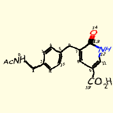 CC(=O)NCc1ccc(Cc2cc(C(=O)O)c[nH]c2=O)cc1